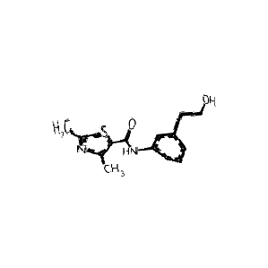 Cc1nc(C)c(C(=O)Nc2cccc(CCO)c2)s1